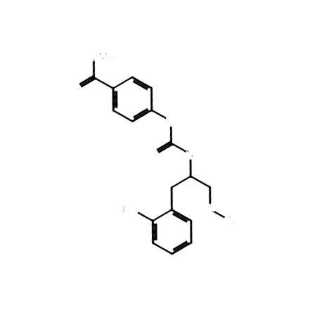 COC(=O)c1ccc(OC(=O)NC(CSC(C)=O)Cc2ccccc2C)cc1